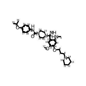 CNc1cc(OCCCN2CCCCC2)c(OC)cc1C(=N)N1CCN(C(=O)Nc2ccc(OC(C)C)cc2)CC1